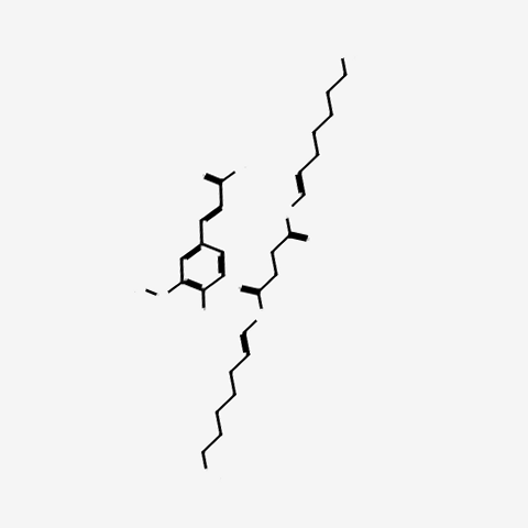 CCCCCCC=COC(=O)CCC(=O)OC=CCCCCCC.COc1cc(C=CC(=O)O)ccc1O